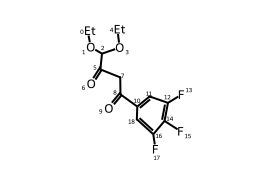 CCOC(OCC)C(=O)CC(=O)c1cc(F)c(F)c(F)c1